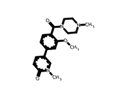 COc1cc(-c2ccc(=O)n(C)c2)ccc1C(=O)N1CCN(C)CC1